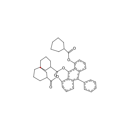 O=C(Oc1cccc2c(-c3ccccc3)c3cccc(OC(=O)C4CCCCC4)c3c(OC(=O)C3CCCCC3)c12)C1CCCCC1